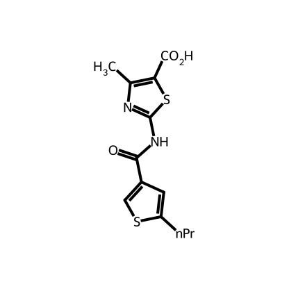 CCCc1cc(C(=O)Nc2nc(C)c(C(=O)O)s2)cs1